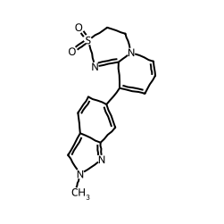 Cn1cc2ccc(C3=CC=CN4CCS(=O)(=O)N=C34)cc2n1